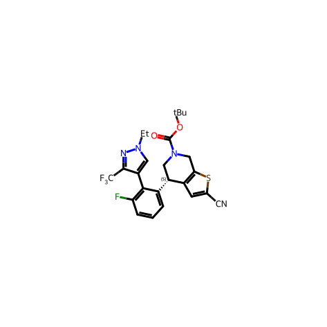 CCn1cc(-c2c(F)cccc2[C@@H]2CN(C(=O)OC(C)(C)C)Cc3sc(C#N)cc32)c(C(F)(F)F)n1